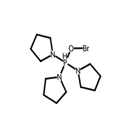 BrO[PH](N1CCCC1)(N1CCCC1)N1CCCC1